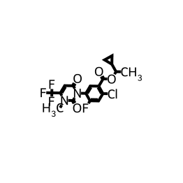 CC(OC(=O)c1cc(-n2c(=O)cc(C(F)(F)F)n(C)c2=O)c(F)cc1Cl)C1CC1